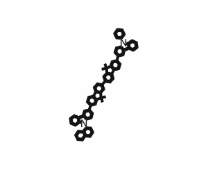 CC1(C)c2cc(-c3ccc4c(c3)C(C)(C)c3cc(-c5ccc6c(c5)c5ccccc5n6-c5cccc6ccccc56)ccc3-4)ccc2-c2ccc(-c3ccc4c(c3)c3ccccc3n4-c3ccccc3)cc21